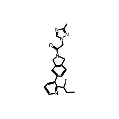 CCC(F)c1ncccc1-c1ccc2c(c1)CN(C(=O)Cn1cnc(C)n1)C2